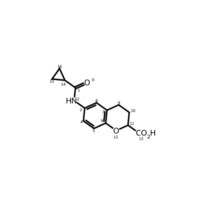 O=C(Nc1ccc2c(c1)CCC(C(=O)O)O2)C1CC1